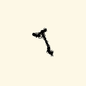 Cc1ncsc1-c1ccc(CNC(=O)[C@@H]2C[C@@H](O)CN2C(=O)[C@H](C(C)C)N2Cc3ccccc3C2=O)c(OCCOCCOCCCCOCCOCCOc2ccc(N3C(=S)N(c4ccc(C#N)c(C(F)(F)F)c4)C(=O)C3(C)C)cc2)c1